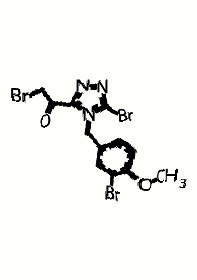 COc1ccc(Cn2c(Br)nnc2C(=O)CBr)cc1Br